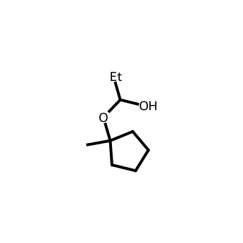 CCC(O)OC1(C)CCCC1